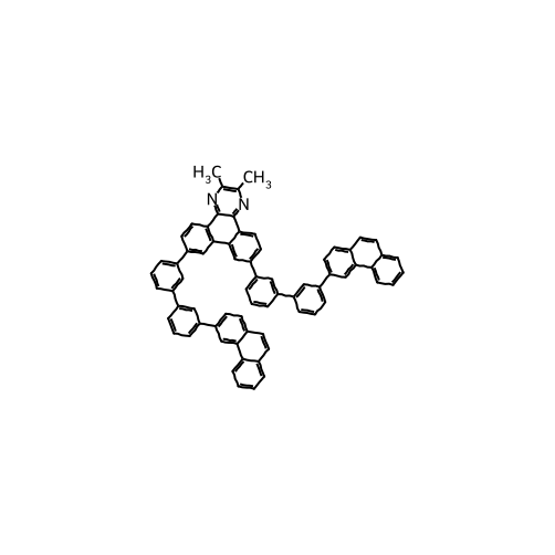 Cc1nc2c3ccc(-c4cccc(-c5cccc(-c6ccc7ccc8ccccc8c7c6)c5)c4)cc3c3cc(-c4cccc(-c5cccc(-c6ccc7ccc8ccccc8c7c6)c5)c4)ccc3c2nc1C